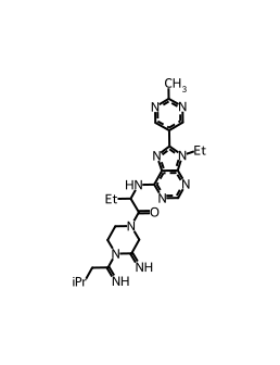 CCC(Nc1ncnc2c1nc(-c1cnc(C)nc1)n2CC)C(=O)N1CCN(C(=N)CC(C)C)C(=N)C1